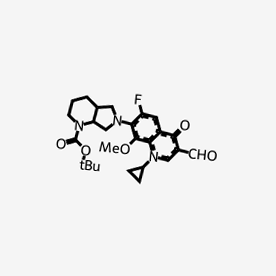 COc1c(N2CC3CCCN(C(=O)OC(C)(C)C)C3C2)c(F)cc2c(=O)c(C=O)cn(C3CC3)c12